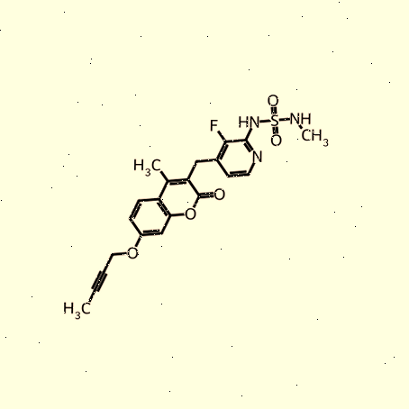 CC#CCOc1ccc2c(C)c(Cc3ccnc(NS(=O)(=O)NC)c3F)c(=O)oc2c1